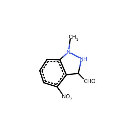 CN1NC(C=O)c2c1cccc2[N+](=O)[O-]